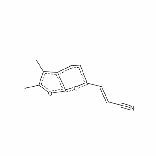 Cc1oc2cc(C=CC#N)ccc2c1C